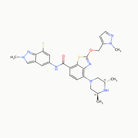 C[C@H]1CN(c2ccc(C(=O)Nc3cc(F)c4nn(C)cc4c3)c3sc(OCc4ccnn4C)nc23)C[C@H](C)N1